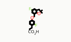 CC1(C)Cc2cc(F)cc(COc3ccc(CCC(=O)O)c(F)c3)c2O1